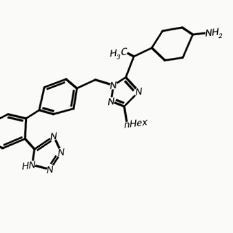 CCCCCCc1nc(C(C)C2CCC(N)CC2)n(Cc2ccc(-c3ccccc3-c3nnn[nH]3)cc2)n1